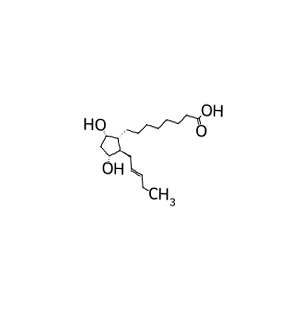 CC/C=C/C[C@@H]1[C@@H](CCCCCCCC(=O)O)[C@@H](O)C[C@H]1O